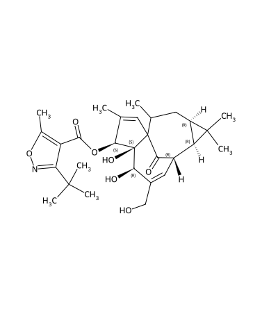 CC1=CC23C(=O)[C@@H](C=C(CO)[C@@H](O)[C@]2(O)[C@H]1OC(=O)c1c(C(C)(C)C)noc1C)[C@H]1[C@@H](CC3C)C1(C)C